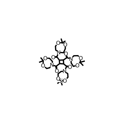 CC1(C)OCCN(C(=O)C2C(C(=O)N3CCOC(C)(C)OCC3)C(C(=O)N3CCO[Si](C)(C)OCC3)C2C(=O)N2CCOC(C)(C)OCC2)CCO1